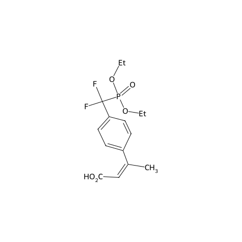 CCOP(=O)(OCC)C(F)(F)c1ccc(/C(C)=C\C(=O)O)cc1